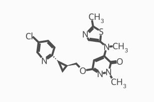 Cc1ncc(N(C)c2cc(OC[C@H]3C[C@@H]3c3ccc(Cl)cn3)nn(C)c2=O)s1